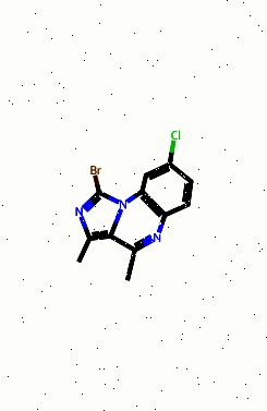 Cc1nc(Br)n2c1c(C)nc1ccc(Cl)cc12